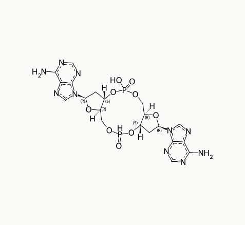 Nc1ncnc2c1ncn2[C@H]1C[C@@H]2O[PH](=O)OC[C@H]3O[C@@H](n4cnc5c(N)ncnc54)C[C@@H]3OP(=O)(O)OC[C@H]2O1